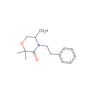 CC1(C)OCC(C(=O)O)N(CCc2ccccc2)C1=O